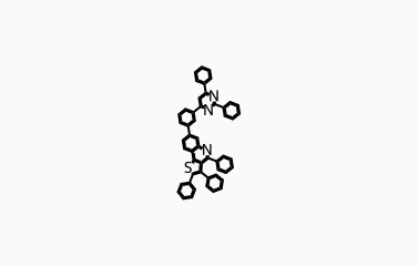 c1ccc(-c2cc(-c3cccc(-c4ccc5c(c4)nc(-c4ccccc4)c4c(-c6ccccc6)c(-c6ccccc6)sc45)c3)nc(-c3ccccc3)n2)cc1